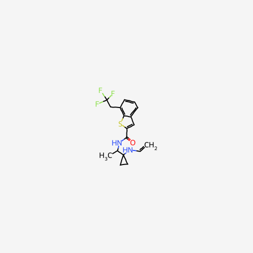 C=CNC1(C(C)NC(=O)c2cc3cccc(CC(F)(F)F)c3s2)CC1